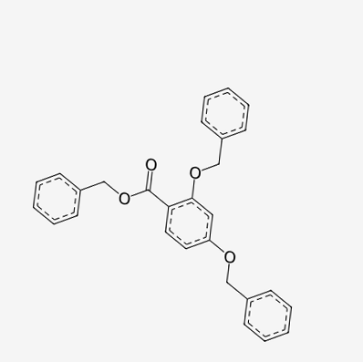 O=C(OCc1ccccc1)c1ccc(OCc2ccccc2)cc1OCc1ccccc1